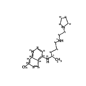 CC(CCCNCCN1CCCC1)Nc1ccnc2cc(Cl)ccc12